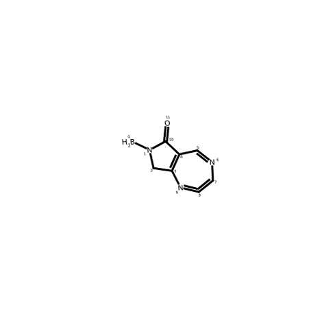 BN1CC2=C(C=NC=C=N2)C1=O